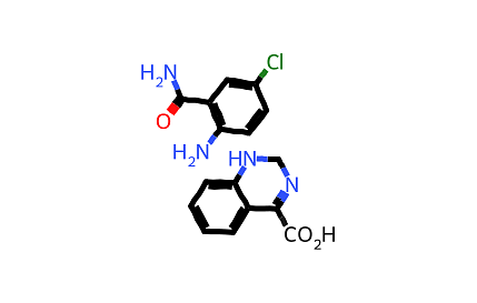 NC(=O)c1cc(Cl)ccc1N.O=C(O)C1=NCNc2ccccc21